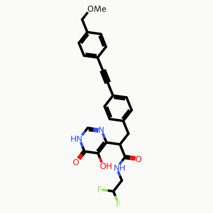 COCc1ccc(C#Cc2ccc(CC(C(=O)NCC(F)F)c3nc[nH]c(=O)c3O)cc2)cc1